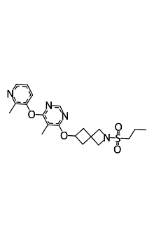 CCCS(=O)(=O)N1CC2(CC(Oc3ncnc(Oc4cccnc4C)c3C)C2)C1